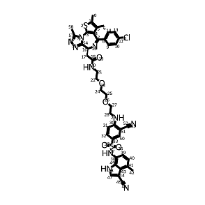 Cc1sc2c(c1C)C(c1ccc(Cl)cc1)=N[C@@H](CC(=O)NCCOCCOCCNc1ccc(S(=O)(=O)Nc3ccc(C)c4c(C#N)c[nH]c34)cc1C#N)c1nnc(C)n1-2